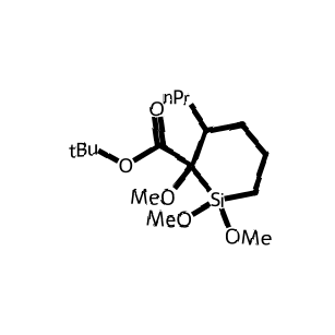 CCCC1CCC[Si](OC)(OC)C1(OC)C(=O)OC(C)(C)C